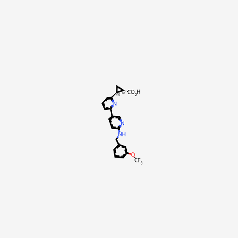 O=C(O)[C@H]1C[C@@H]1c1cccc(-c2ccc(NCc3cccc(OC(F)(F)F)c3)nc2)n1